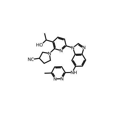 Cc1ccc(Nc2ccc3ncn(-c4ccc(C(C)O)c(N5CCC(C#N)C5)n4)c3c2)nn1